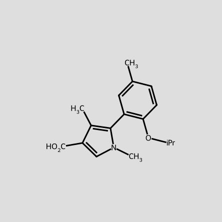 Cc1ccc(OC(C)C)c(-c2c(C)c(C(=O)O)cn2C)c1